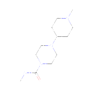 CNC(=O)N1CCN(C2CCN(C)CC2)CC1